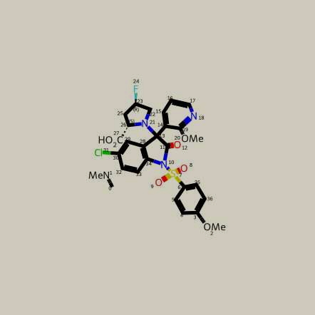 CNC.COc1ccc(S(=O)(=O)N2C(=O)C(c3cccnc3OC)(N3C[C@H](F)C[C@H]3C(=O)O)c3cc(Cl)ccc32)cc1